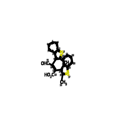 Cc1sc2ccccc2c1/C(C=O)=C(/C(=O)O)c1c(C)sc2ccccc12